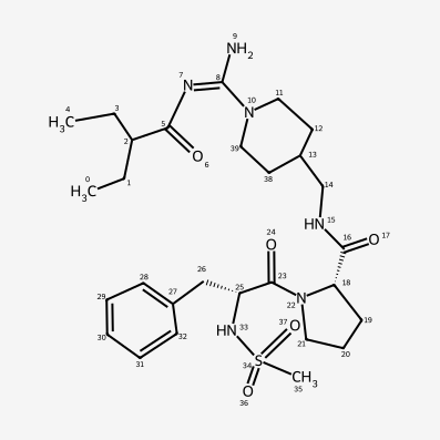 CCC(CC)C(=O)/N=C(/N)N1CCC(CNC(=O)[C@@H]2CCCN2C(=O)[C@@H](Cc2ccccc2)NS(C)(=O)=O)CC1